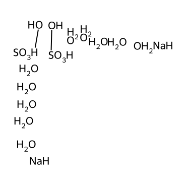 O.O.O.O.O.O.O.O.O.O.O=S(=O)(O)O.O=S(=O)(O)O.[NaH].[NaH]